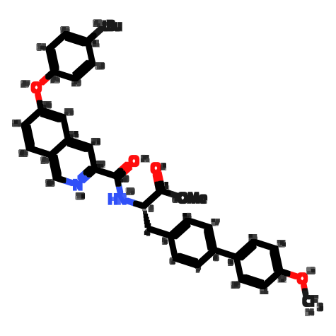 COC(=O)[C@H](Cc1ccc(-c2ccc(OC(F)(F)F)cc2)cc1)NC(=O)c1cc2cc(Oc3ccc(C(C)(C)C)cc3)ccc2cn1